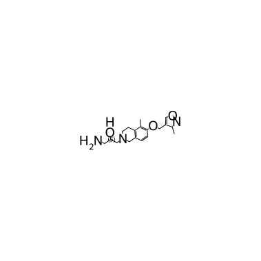 Cc1nocc1COc1ccc2c(c1C)CCN(C[C@@H](O)CN)C2